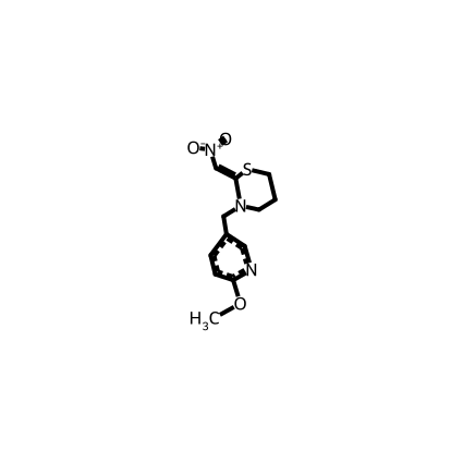 COc1ccc(CN2CCCSC2=C[N+](=O)[O-])cn1